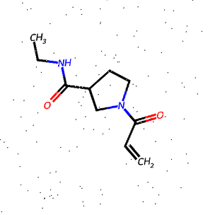 C=CC(=O)N1CCC(C(=O)NCC)C1